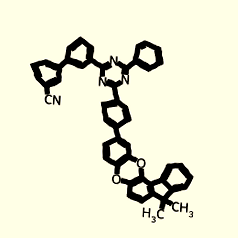 CC1(C)c2ccccc2-c2c1ccc1c2Oc2cc(-c3ccc(-c4nc(-c5ccccc5)nc(-c5cccc(-c6cccc(C#N)c6)c5)n4)cc3)ccc2O1